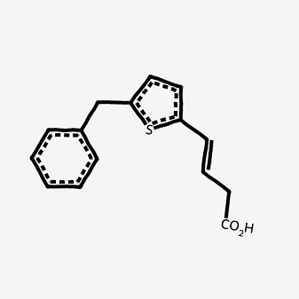 O=C(O)CC=Cc1ccc(Cc2ccccc2)s1